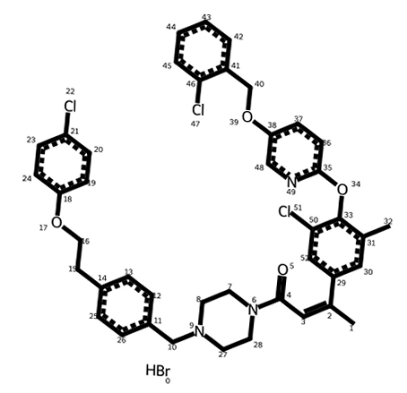 Br.C/C(=C/C(=O)N1CCN(Cc2ccc(CCOc3ccc(Cl)cc3)cc2)CC1)c1cc(C)c(Oc2ccc(OCc3ccccc3Cl)cn2)c(Cl)c1